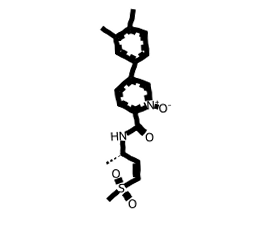 Cc1ccc(-c2ccc(C(=O)N[C@@H](C)/C=C\S(C)(=O)=O)[n+]([O-])c2)cc1C